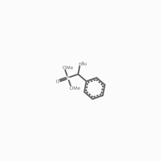 CCCCC(c1ccccc1)P(=O)(OC)OC